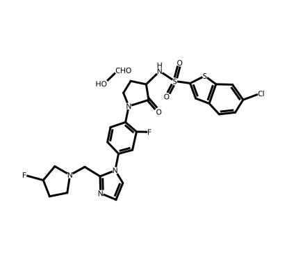 O=C1C(NS(=O)(=O)c2cc3ccc(Cl)cc3s2)CCN1c1ccc(-n2ccnc2CN2CCC(F)C2)cc1F.O=CO